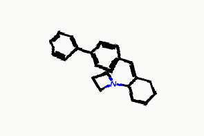 C(=C1\CCCCC1N1CCC1)/c1ccc(-c2ccccc2)cc1